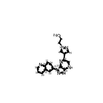 OCCn1cc(-c2cnc3nnn(-c4ccc5ncccc5c4)c3n2)cn1